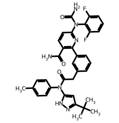 Cc1ccc(N(C(=O)Cc2cccc(-c3nc(N(C(N)=O)c4c(F)cccc4F)ccc3C(N)=O)c2)c2cc(C(C)(C)C)n[nH]2)cc1